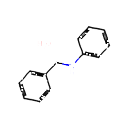 O.c1ccc(CNc2ccccc2)cc1